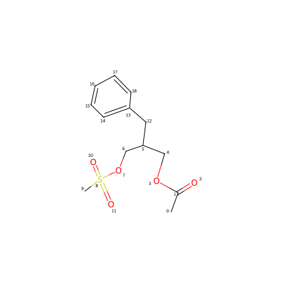 CC(=O)OCC(COS(C)(=O)=O)Cc1ccccc1